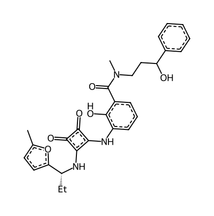 CC[C@@H](Nc1c(Nc2cccc(C(=O)N(C)CCC(O)c3ccccc3)c2O)c(=O)c1=O)c1ccc(C)o1